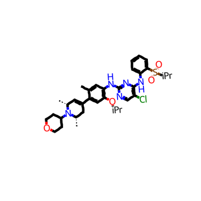 Cc1cc(Nc2ncc(Cl)c(Nc3ccccc3S(=O)(=O)C(C)C)n2)c(OC(C)C)cc1C1=C[C@@H](C)N(C2CCOCC2)[C@@H](C)C1